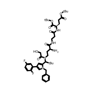 CC(C)(C)OC(=O)CC[C@@H](NC(=O)CCNC(=O)C(N)CCN(C(=O)CO)C(c1cc(-c2cc(F)ccc2F)cn1Cc1ccccc1)C(C)(C)C)C(=O)OC(C)(C)C